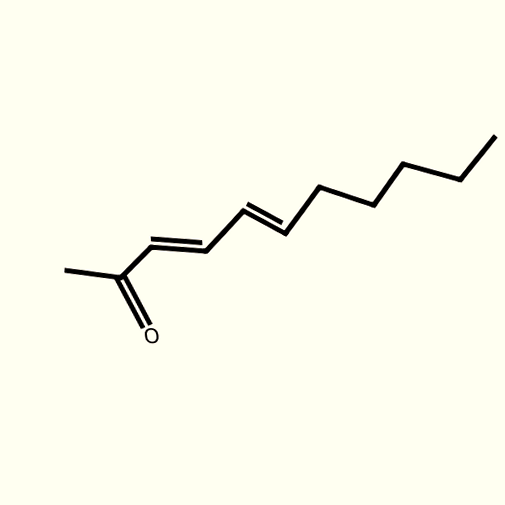 CCCCC/C=C/C=C/C(C)=O